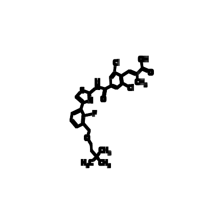 CC(=Cc1c(Cl)cc(C(=O)Nc2nc(-c3cccc(COCCC(C)(C)C)c3F)cs2)cc1Cl)C(=O)O